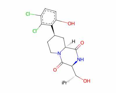 CC(C)[C@@H](O)[C@@H]1NC(=O)[C@@H]2C[C@H](c3c(O)ccc(Cl)c3Cl)CCN2C1=O